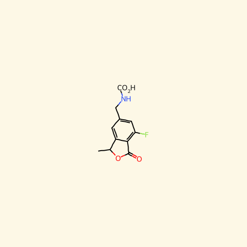 CC1OC(=O)c2c(F)cc(CNC(=O)O)cc21